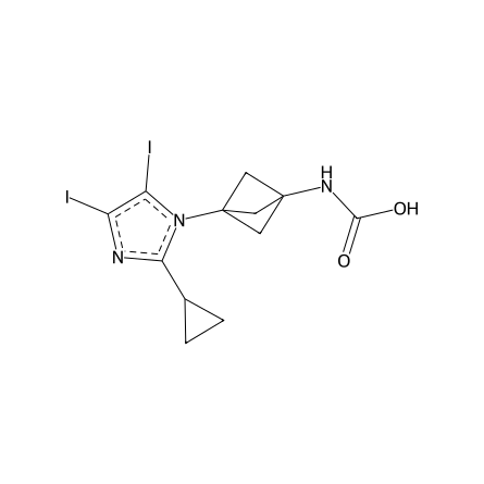 O=C(O)NC12CC(n3c(C4CC4)nc(I)c3I)(C1)C2